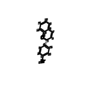 Brc1ccc([C@H]2C=Cc3ccccc3O2)cc1